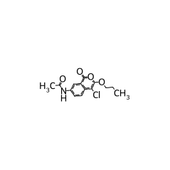 CCCOc1oc(=O)c2cc(NC(C)=O)ccc2c1Cl